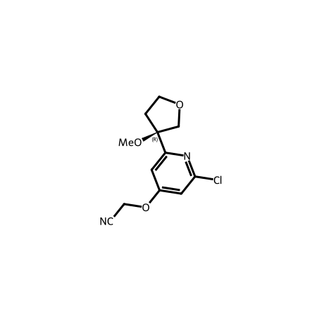 CO[C@@]1(c2cc(OCC#N)cc(Cl)n2)CCOC1